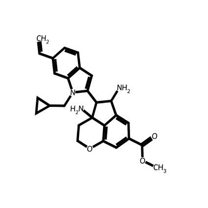 C=Cc1ccc2cc(C3C(N)c4cc(C(=O)OC)cc5c4C3(N)CCO5)n(CC3CC3)c2c1